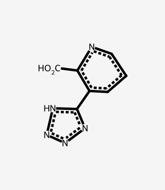 O=C(O)c1ncccc1-c1nnn[nH]1